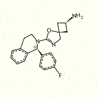 N[C@H]1C[C@]2(CN=C(N3CCc4ccccc4[C@@H]3c3ccc(F)cc3)O2)C1